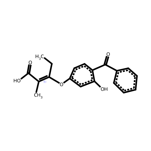 CC/C(Oc1ccc(C(=O)c2ccccc2)c(O)c1)=C(/C)C(=O)O